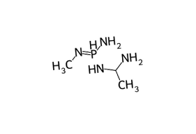 CN=[PH](N)NC(C)N